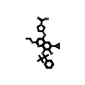 CCSc1cc(O[C@H]2CCN(C(=O)O)C2)c2cc(C3CC3)c(Br)c(OC(C)(c3ccccc3)C(C)(C)C)c2n1